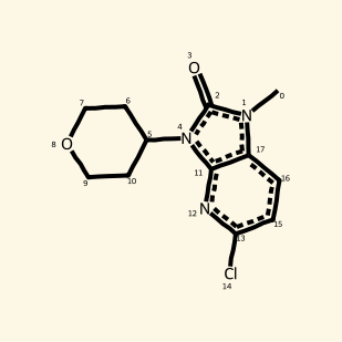 Cn1c(=O)n(C2CCOCC2)c2nc(Cl)ccc21